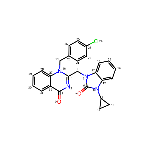 O=c1nc(Cn2c(=O)n(C3CC3)c3ccccc32)n(Cc2ccc(Cl)cc2)c2ccccc12